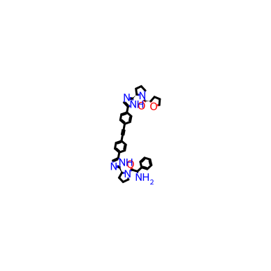 N[C@@H](C(=O)N1CCC[C@H]1c1ncc(-c2ccc(C#Cc3ccc(-c4cnc([C@@H]5CCCN5C(=O)[C@@H]5CCCO5)[nH]4)cc3)cc2)[nH]1)c1ccccc1